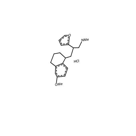 CNCC(CC1CCCc2cc(OC)ccc21)c1ccco1.Cl